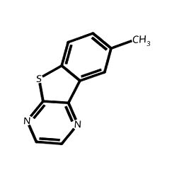 Cc1ccc2sc3nccnc3c2c1